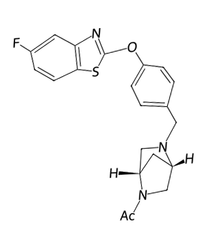 CC(=O)N1C[C@@H]2C[C@H]1CN2Cc1ccc(Oc2nc3cc(F)ccc3s2)cc1